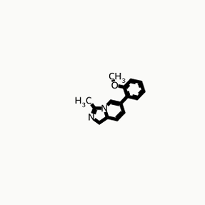 COc1ccccc1C1=CN2C(C)=NCC2C=C1